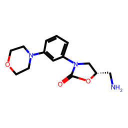 NC[C@H]1CN(c2cccc(N3CCOCC3)c2)C(=O)O1